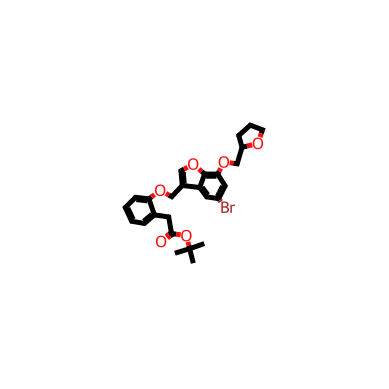 CC(C)(C)OC(=O)Cc1ccccc1OCc1coc2c(OCC3CCCO3)cc(Br)cc12